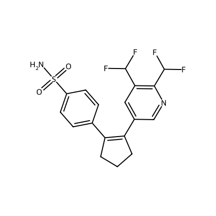 NS(=O)(=O)c1ccc(C2=C(c3cnc(C(F)F)c(C(F)F)c3)CCC2)cc1